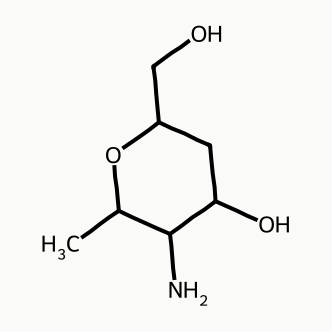 CC1OC(CO)CC(O)C1N